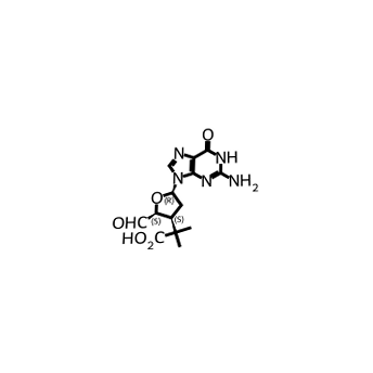 CC(C)(C(=O)O)[C@@H]1C[C@H](n2cnc3c(=O)[nH]c(N)nc32)O[C@@H]1C=O